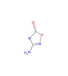 NC1=NOC(=O)[N]1